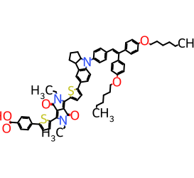 CCCCCCOc1ccc(C(=Cc2ccc(N3c4ccc(-c5ccc(C6=C7C(=O)N(CC)C(c8ccc(-c9ccc(C(=O)O)cc9)s8)=C7C(=O)N6CC)s5)cc4C4CCCC43)cc2)c2ccc(OCCCCCC)cc2)cc1